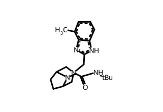 Cc1cccc2[nH]c(CN3CC4CCC(C3)N4CC(=O)NC(C)(C)C)nc12